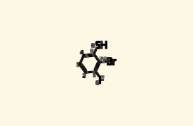 Fc1cccc(S)c1Br